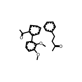 CC(=O)CCc1ccccc1.COc1cccc(-c2ccccc2C(C)=O)c1OC